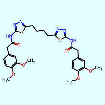 COc1ccc(CC(=O)Nc2nnc(CCCCc3nnc(NC(=O)Cc4ccc(OC)c(OC)c4)s3)s2)cc1OC